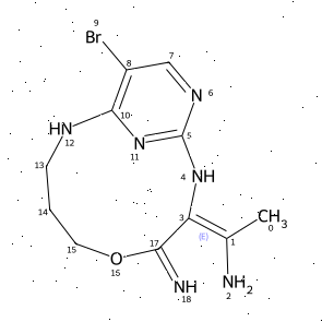 C/C(N)=C1\Nc2ncc(Br)c(n2)NCCCOC1=N